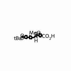 COc1cc(C(=O)O)ccc1C(=O)NCCc1ccc(-c2ccc(C(=O)OC(C)(C)C)cc2)cc1